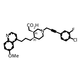 COc1ccc2nccc(CCC[C@@H]3CCN(CC#Cc4ccc(Cl)c(F)c4)C[C@@H]3CC(=O)O)c2c1